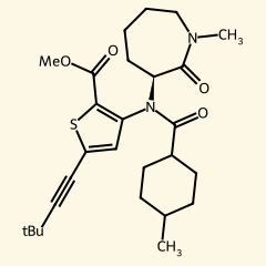 COC(=O)c1sc(C#CC(C)(C)C)cc1N(C(=O)C1CCC(C)CC1)[C@H]1CCCCN(C)C1=O